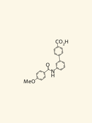 COc1ccc(C(=O)Nc2cccc(-c3ccc(C(=O)O)cc3)c2)cc1